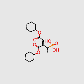 CC(/C(=C/C(=O)OC1CCCCC1)C(=O)OC1CCCCC1)P(=O)(O)O